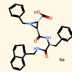 O=C(NCc1cccc2ccccc12)[C@H](Cc1ccccc1)NC(=O)[C@@H]1[C@@H](C(=O)O)N1Cc1ccccc1.[Na]